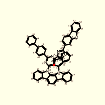 c1ccc(-c2ccc(-c3nc(-c4ccccc4)nc(-n4c5ccccc5c5ccc6c7ccccc7n(-c7ccc8nc(-c9ccc%10c(c9)oc9ccccc9%10)oc8c7)c6c54)n3)cc2)cc1